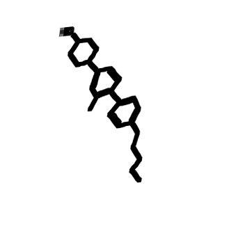 CCCCCc1ccc(-c2ccc(C3CCC(O)CC3)cc2C)cc1